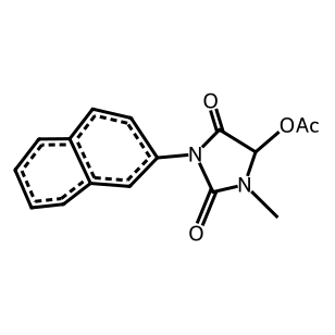 CC(=O)OC1C(=O)N(c2ccc3ccccc3c2)C(=O)N1C